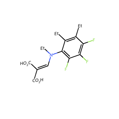 CCc1c(F)c(F)c(F)c(N(C=C(C(=O)O)C(=O)O)CC)c1CC